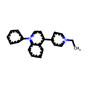 CC[n+]1ccc(-c2cc[n+](-c3ccccc3)c3ccccc23)cc1